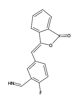 N=Cc1cc(C=C2OC(=O)c3ccccc32)ccc1F